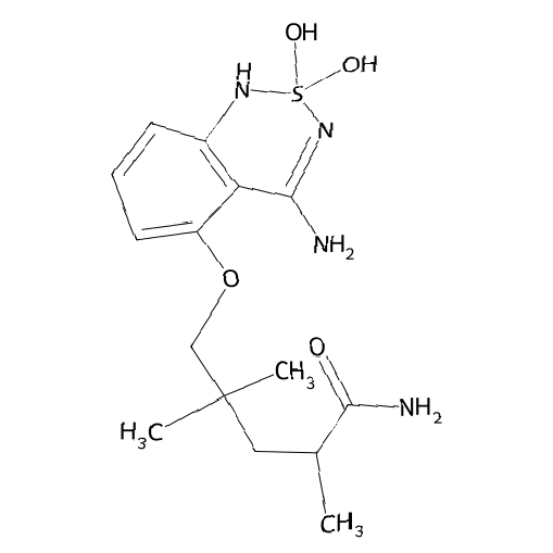 CC(CC(C)(C)COc1cccc2c1C(N)=NS(O)(O)N2)C(N)=O